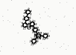 c1ccc(-c2ccc(-c3cccc4oc5c(-c6ccc(-c7nc(-c8ccccc8)nc(-c8ccccc8)n7)cc6)cccc5c34)cc2)cc1